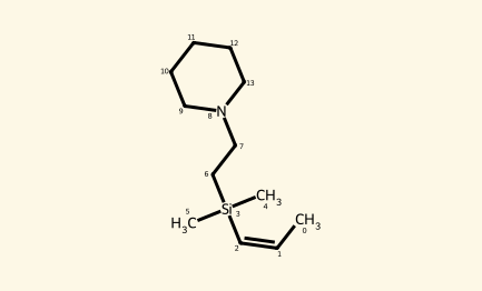 C/C=C\[Si](C)(C)CCN1CCCCC1